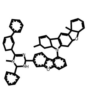 CC1C=CC2C3=C(CC4OC5C=CC=CC5(C)C4=C3)N(c3cccc4oc5cc(C6N=C(C7C=C(c8ccccc8)C=CC7)N(C)C(c7ccccc7)N6)ccc5c34)C2C1